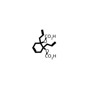 C=CCC1(OC(=O)O)CC=CCC1(CC=C)OC(=O)O